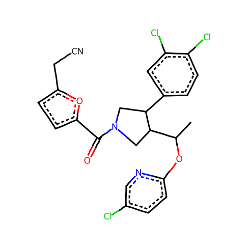 CC(Oc1ccc(Cl)cn1)C1CN(C(=O)c2ccc(CC#N)o2)CC1c1ccc(Cl)c(Cl)c1